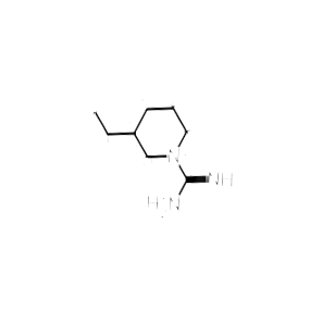 CCC1CCCN(C(=N)N)C1